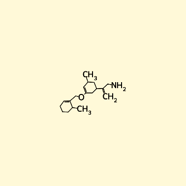 C=C(CN)C1CC(OCC2=CCCCC2C)=CC(C)C1